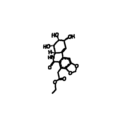 CCOC(=O)Cc1c2c(cc3c1C(=O)N[C@@H]1C3=C[C@H](O)[C@@H](O)[C@H]1O)OCO2